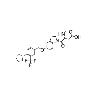 CNC(CC(=O)O)C(=O)N1CCc2cc(OCc3ccc(C4CCCC4)c(C(F)(F)F)c3)ccc21